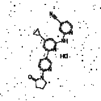 Cl.N#Cc1ccnc(Nc2cc(C3CC3)cc(-c3ccc(N4CCCC4=O)nc3)n2)c1